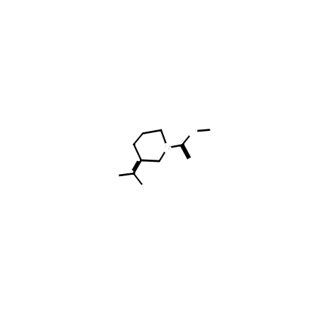 CCOC(=O)C(F)=C1CCCN(C(=O)OC(C)(C)C)C1